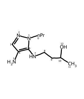 CCCn1ncc(N)c1NCCC(C)O